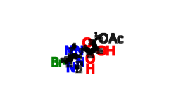 CC(=O)OC[C@H]1O[C@@H](n2cnc3c(Br)ncnc32)[C@H](O)[C@H]1O